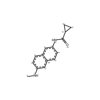 CNc1ccc2cc(NC(=O)C3CC3)ccc2c1